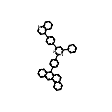 c1ccc(-c2cc(-c3ccc(-c4ccnc5ccccc45)cc3)nc(-c3ccc(-c4c5ccccc5cc5c4ccc4ccccc45)cc3)n2)cc1